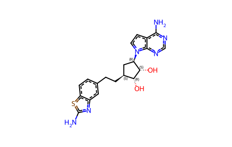 Nc1nc2cc(CC[C@H]3C[C@@H](n4ccc5c(N)ncnc54)[C@H](O)[C@@H]3O)ccc2s1